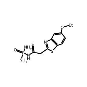 CCOc1ccc2sc(CC(=S)NP(N)(N)=O)nc2c1